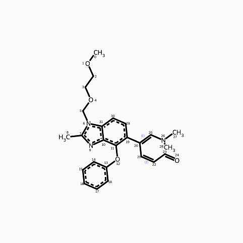 COCCOCn1c(C)nc2c(Oc3ccccc3)c(C(/C=C\C=O)=C/N(C)C)ccc21